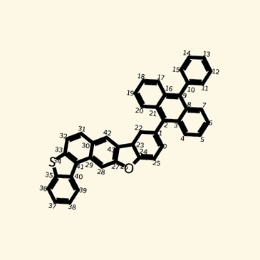 C1=C(c2c3ccccc3c(-c3ccccc3)c3ccccc23)CC2C(=C1)Oc1cc3c(ccc4sc5ccccc5c43)cc12